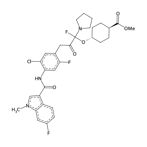 COC(=O)[C@H]1CC[C@H](OC(F)(C(=O)Cc2cc(Cl)c(NC(=O)c3cn(C)c4cc(F)ccc34)cc2F)N2CCCC2)CC1